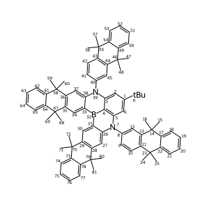 CC(C)(C)c1cc2c3c(c1)N(c1ccc4c(c1)C(C)(C)c1ccccc1C4(C)C)c1cc4c(cc1B3c1cc3c(cc1N2c1ccc2c(c1)C(C)(C)c1ccccc1C2(C)C)C(C)(C)c1ccccc1C3(C)C)C(C)(C)c1ccccc1C4(C)C